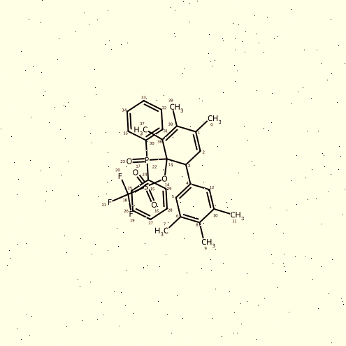 CC1=CC(c2cc(C)c(C)c(C)c2)C(OS(=O)(=O)C(F)(F)F)(P(=O)(c2ccccc2)c2ccccc2)C(C)=C1C